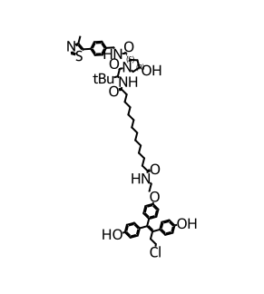 Cc1ncsc1-c1ccc(CNC(=O)[C@@H]2C[C@@H](O)CN2C(=O)C(NC(=O)CCCCCCCCCCCCC(=O)NCCOc2ccc(C(=C(CCCl)c3ccc(O)cc3)c3ccc(O)cc3)cc2)C(C)(C)C)cc1